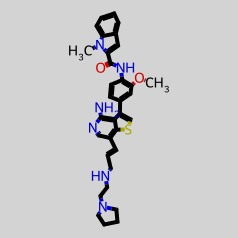 COc1cc(-c2csc3c(/C=C/CNCCN4CCCC4)cnc(N)c23)ccc1NC(=O)c1cc2ccccc2n1C